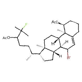 CC(=O)OC(CC[C@@H](C)[C@H]1CC[C@H]2[C@@H]3C(Br)C=C4CCC[C@H](OC(C)=O)[C@]4(C)[C@H]3CC[C@]12C)C(C)(C)F